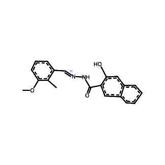 COc1cccc(/C=N/NC(=O)c2cc3ccccc3cc2O)c1C